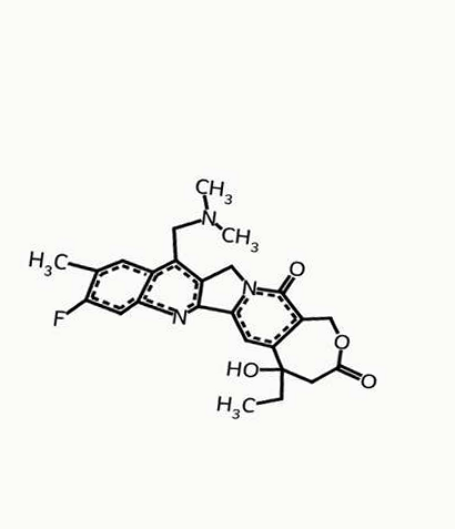 CCC1(O)CC(=O)OCc2c1cc1n(c2=O)Cc2c-1nc1cc(F)c(C)cc1c2CN(C)C